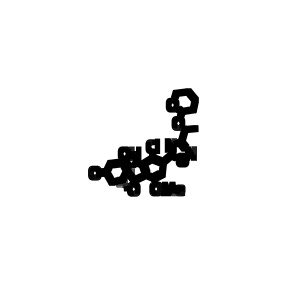 COc1cc(-c2nc(C(C)OC3CCCCO3)no2)c(Cl)c2c1C(=O)[C@@]1(O2)C(O)=CC(=O)C[C@H]1C